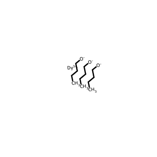 CCCC[O-].CCCC[O-].CCCC[O-].[Dy+3]